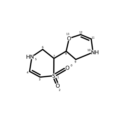 O=S1(=O)C=CNCC1C1CNC=CO1